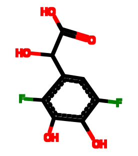 O=C(O)C(O)c1cc(F)c(O)c(O)c1F